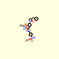 CC(C)OC(=O)Nc1ccc(-c2ncc(-c3ccc(N4CCC(CC5=CC=CCC5)C4=O)cc3S(=O)(=O)NC(C)(C)C)s2)cc1